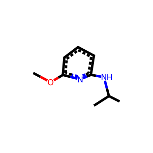 COc1cccc(NC(C)C)n1